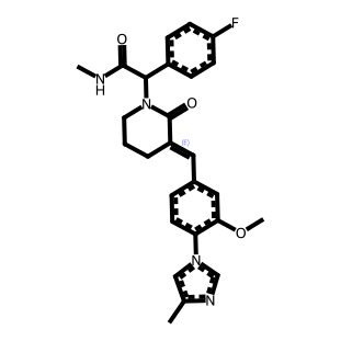 CNC(=O)C(c1ccc(F)cc1)N1CCC/C(=C\c2ccc(-n3cnc(C)c3)c(OC)c2)C1=O